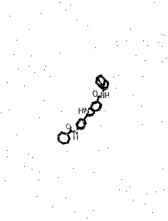 O=C(NC1C2CC3CC(C2)CC1C3)c1ccc2cc(-c3ccc(NC(=O)C4CCCCCC4)cc3)[nH]c2c1